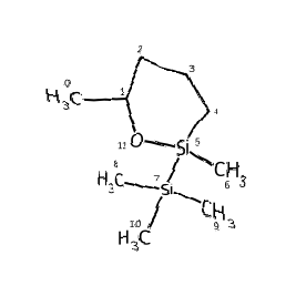 CC1CCC[Si](C)([Si](C)(C)C)O1